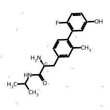 Cc1cc(C[C@H](N)C(=O)NC(C)C)ccc1-c1cc(O)ccc1F